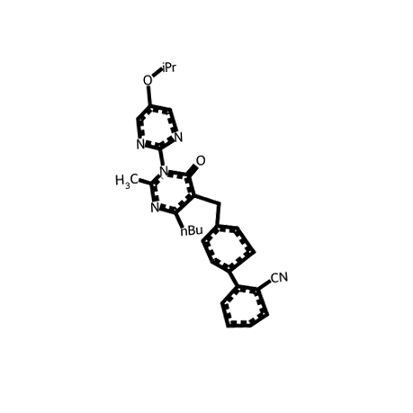 CCCCc1nc(C)n(-c2ncc(OC(C)C)cn2)c(=O)c1Cc1ccc(-c2ccccc2C#N)cc1